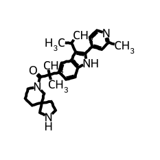 Cc1cc(-c2[nH]c3ccc(C(C)(C)C(=O)N4CCCC5(CCNC5)C4)cc3c2C(C)C)ccn1